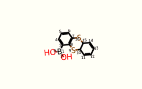 OB(O)c1cccc2c1SC1C=CC=CC1S2